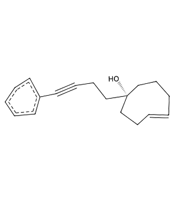 O[C@@]1(CCC#Cc2ccccc2)CC/C=C/CCC1